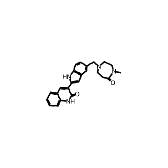 CN1CCN(Cc2ccc3[nH]c(-c4cc5ccccc5[nH]c4=O)cc3c2)CCC1=O